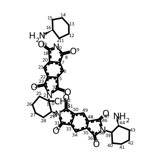 CC1(n2c(=O)c3cc4c(=O)n([C@H]5CCCC[C@@H]5N)c(=O)c4cc3c2=O)CCCC[C@@H]1n1c(=O)c2cc3c(=O)n(C4CCCC[C@@H]4N)c(=O)c3cc2c1=O